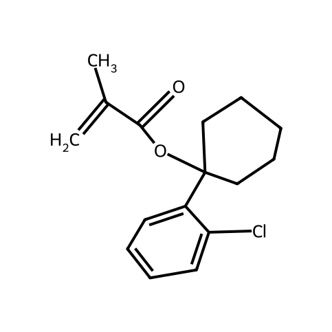 C=C(C)C(=O)OC1(c2ccccc2Cl)CCCCC1